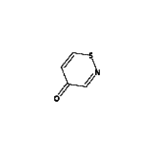 O=c1ccsnc1